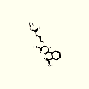 COC(=O)CCCC[C@H](NC(=O)C1CCCCC1C(=O)O)C(N)=O